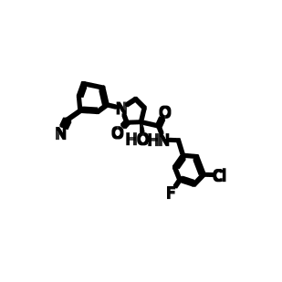 N#Cc1cccc(N2CC[C@](O)(C(=O)NCc3cc(F)cc(Cl)c3)C2=O)c1